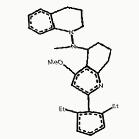 CCc1cccc(CC)c1-c1cc(OC)c2c(n1)CCCC2N(C)N1CCCc2ccccc21